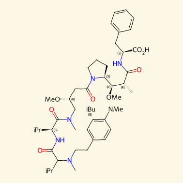 CC[C@H](C)C([C@@H](CC(=O)N1CCC[C@H]1[C@H](OC)[C@@H](C)C(=O)N[C@@H](Cc1ccccc1)C(=O)O)OC)N(C)C(=O)[C@@H](NC(=O)C(C(C)C)N(C)CCc1ccc(NC)cc1)C(C)C